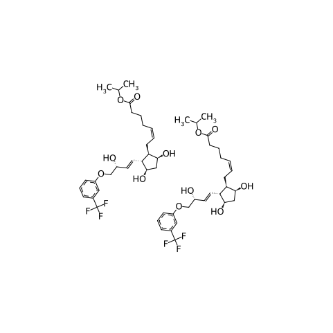 CC(C)OC(=O)CCC/C=C\C[C@@H]1[C@@H](/C=C/[C@@H](O)COc2cccc(C(F)(F)F)c2)[C@H](O)C[C@@H]1O.CC(C)OC(=O)CCC/C=C\C[C@@H]1[C@@H](/C=C/[C@@H](O)COc2cccc(C(F)(F)F)c2)[C@H](O)C[C@@H]1O